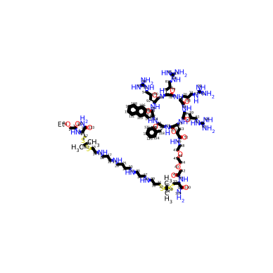 CCOCC(=O)N[C@@H](CSC(C)(C)SCCNCCCNCCCCNCCCNCCCSC(C)(C)SCC(NC(=O)COCCOCCNC(=O)CC[C@@H]1NC(=O)[C@@H](CCCNC(=N)N)NC(=O)[C@H](CCCNC(=N)N)NC(=O)[C@@H](CCCNC(=N)N)NC(=O)[C@H](CCCNC(=N)N)NC(=O)[C@H](Cc2ccc3ccccc3c2)NC(=O)[C@@H](Cc2ccccc2)NC1=O)C(N)=O)C(N)=O